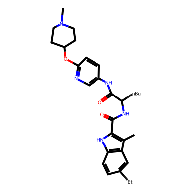 CCCCC(NC(=O)c1[nH]c2ccc(CC)cc2c1C)C(=O)Nc1ccc(OC2CCN(C)CC2)nc1